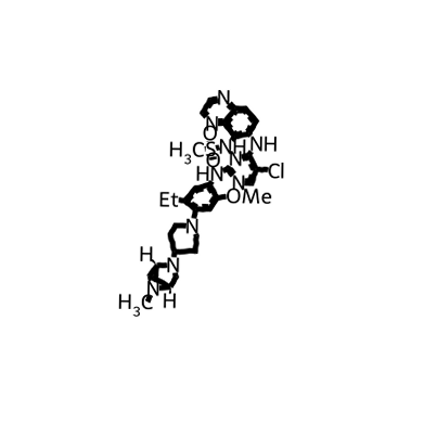 CCc1cc(Nc2ncc(Cl)c(Nc3ccc4nccnc4c3NS(C)(=O)=O)n2)c(OC)cc1N1CCC(N2C[C@@H]3C[C@H]2CN3C)CC1